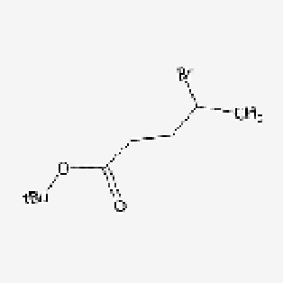 CC(Br)CCC(=O)OC(C)(C)C